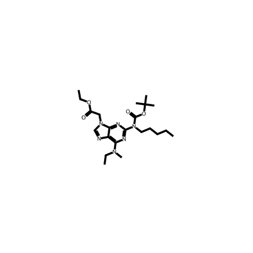 CCCCCN(C(=O)OC(C)(C)C)c1nc(N(C)CC)c2ncn(CC(=O)OCC)c2n1